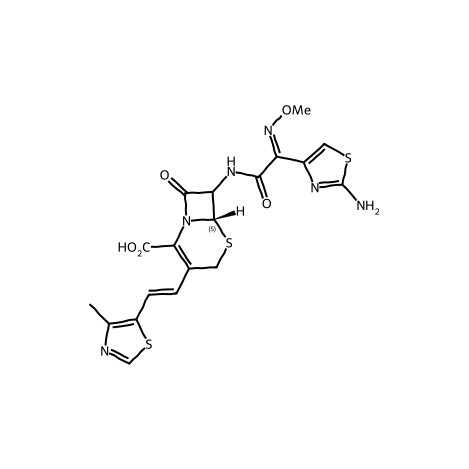 CON=C(C(=O)NC1C(=O)N2C(C(=O)O)=C(C=Cc3scnc3C)CS[C@@H]12)c1csc(N)n1